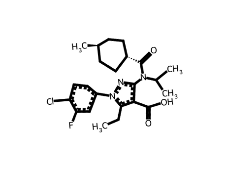 CCc1c(C(=O)O)c(N(C(=O)[C@H]2CC[C@H](C)CC2)C(C)C)nn1-c1ccc(Cl)c(F)c1